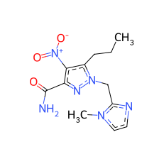 CCCc1c([N+](=O)[O-])c(C(N)=O)nn1Cc1nccn1C